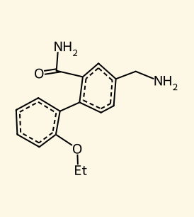 CCOc1ccccc1-c1ccc(CN)cc1C(N)=O